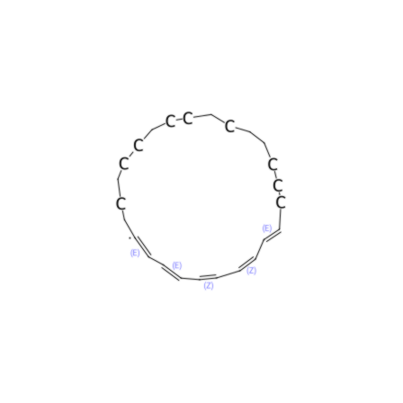 [C]1=C/C=C/C=C\C=C/C=C/CCCCCCCCCCCCCCC/1